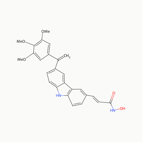 C=C(c1cc(OC)c(OC)c(OC)c1)c1ccc2[nH]c3ccc(/C=C/C(=O)NO)cc3c2c1